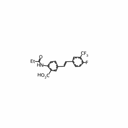 CCC(=O)Nc1ccc(/C=C/c2ccc(F)c(C(F)(F)F)c2)cc1C(=O)O